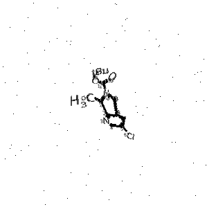 CC1c2ncc(Cl)cc2CN1C(=O)OC(C)(C)C